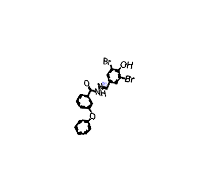 O=C(N/N=C/c1cc(Br)c(O)c(Br)c1)c1cccc(Oc2ccccc2)c1